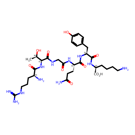 C[C@@H](O)[C@H](NC(=O)[C@@H](N)CCCNC(=N)N)C(=O)NCC(=O)N[C@@H](CCC(N)=O)C(=O)N[C@@H](Cc1ccc(O)cc1)C(=O)N[C@@H](CCCCN)C(=O)O